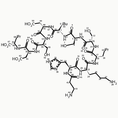 CC[C@H](C)[C@H](NC(=O)[C@H](CO)NC(=O)[C@H](CO)NC(=O)[C@H](CC(C)C)NC(=O)[C@H](CCCCN)NC(=O)[C@H](Cc1c[nH]cn1)NC(=O)CCN)C(=O)N[C@@H](CC(=O)O)C(=O)N[C@@H](CO)C(=O)N[C@@H](CC(=O)O)C(=O)N[C@H](C(=O)O)C(C)C